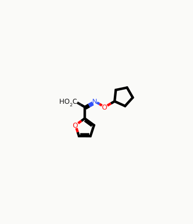 O=C(O)C(=NOC1CCCC1)c1ccco1